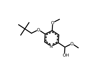 COc1cc(C(O)OC)ncc1OCC(C)(C)C